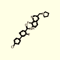 O=C(Nc1ccc2cc(CN3CCCC3)cnc2c1F)c1ccc(-c2ccc(Cl)cc2)cc1F